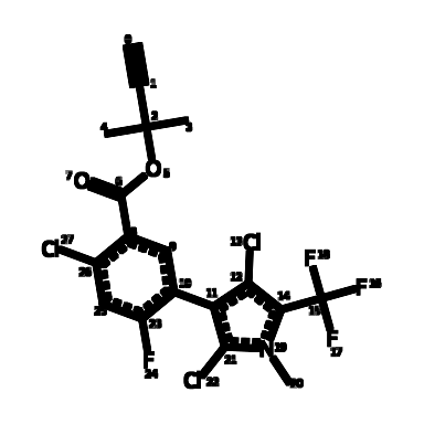 C#CC(C)(C)OC(=O)c1cc(-c2c(Cl)c(C(F)(F)F)n(C)c2Cl)c(F)cc1Cl